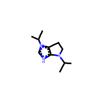 CC(C)N1CCc2c1[nH]c[n+]2C(C)C